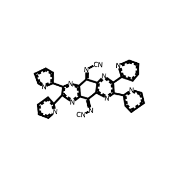 [C-]#[N+]N=C1c2nc(-c3ccccn3)c(-c3ccccn3)nc2C(=NC#N)c2nc(-c3ccccn3)c(-c3ccccn3)nc21